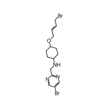 BrC/C=C/COC1CCC(NCc2ncc(Br)cn2)CC1